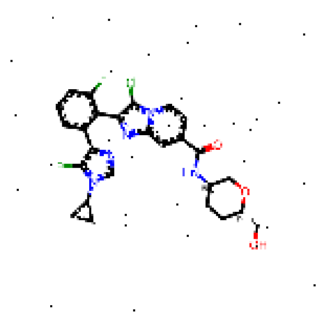 O=C(N[C@@H]1CC[C@@H](CO)OC1)c1ccn2c(Cl)c(-c3c(F)cccc3-c3ncn(C4CC4)c3F)nc2c1